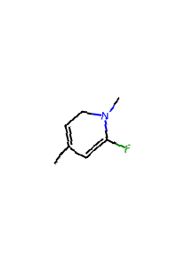 CC1=CCN(C)C(F)=C1